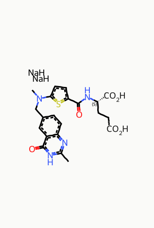 Cc1nc2ccc(CN(C)c3ccc(C(=O)N[C@@H](CCC(=O)O)C(=O)O)s3)cc2c(=O)[nH]1.[NaH].[NaH]